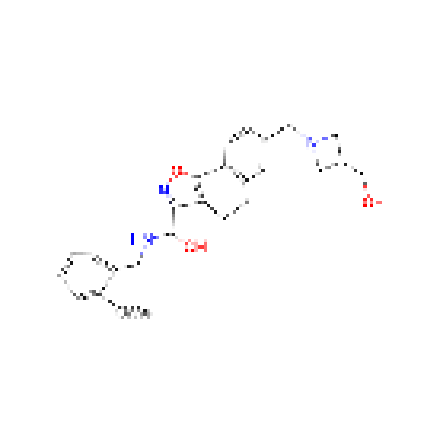 COc1ccccc1CNC(O)c1noc2c1CCc1cc(CN3CC(CO)C3)ccc1-2